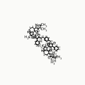 CN[C@@H](C)C(=O)N[C@@H]1CCS[C@H]2CC(C)(C)[C@@H](C(=O)N[C@H](C(=O)NCc3ccc(CNC(=O)[C@H](NC(=O)[C@H]4N5C(=O)[C@@H](NC(=O)C(C)(C)NC)CCS[C@H]5CC4(C)C)c4ccccc4)cc3)c3ccccc3)N2C1=O